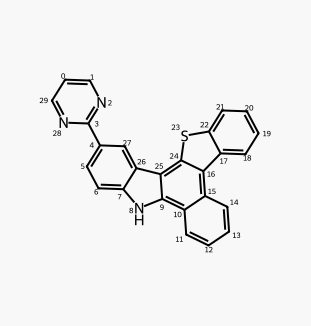 c1cnc(-c2ccc3[nH]c4c5ccccc5c5c6ccccc6sc5c4c3c2)nc1